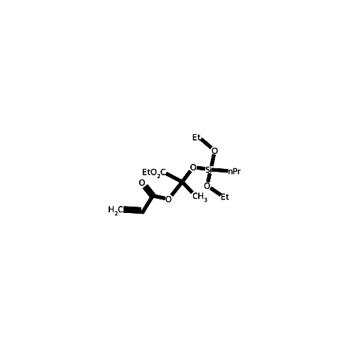 C=CC(=O)OC(C)(O[Si](CCC)(OCC)OCC)C(=O)OCC